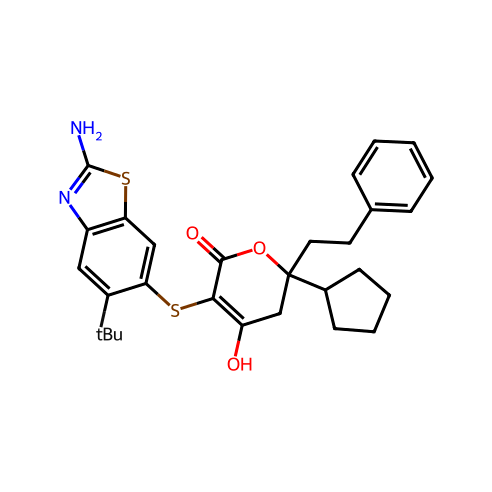 CC(C)(C)c1cc2nc(N)sc2cc1SC1=C(O)CC(CCc2ccccc2)(C2CCCC2)OC1=O